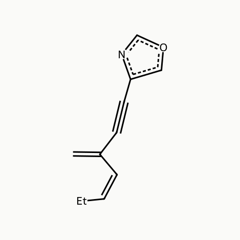 C=C(C#Cc1cocn1)/C=C\CC